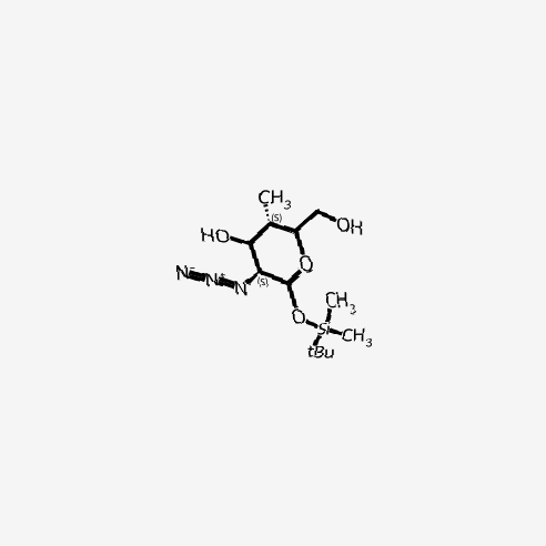 C[C@@H]1C(CO)OC(O[Si](C)(C)C(C)(C)C)[C@@H](N=[N+]=[N-])C1O